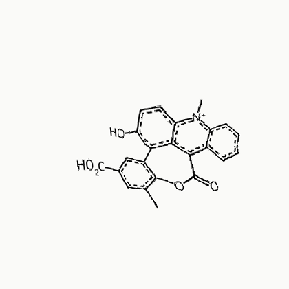 Cc1cc(C(=O)O)cc2c1OC(=O)c1c3ccccc3[n+](C)c3ccc(O)c-2c13